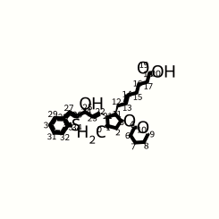 C=C1C[C@H](OC2CCCCO2)[C@H](CC=CCCCC(=O)O)[C@H]1C=C[C@@H](O)c1cc2ccccc2s1